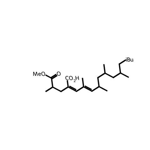 CCC(C)CC(C)CC(C)CC(C)/C=C(C)/C=C(/CC(C)C(=O)OC)C(=O)O